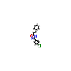 Clc1ccc(-c2noc(CCC3CC[CH]CC3)n2)cc1